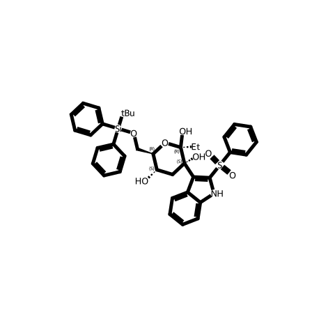 CC[C@@]1(O)O[C@H](CO[Si](c2ccccc2)(c2ccccc2)C(C)(C)C)[C@@H](O)C[C@]1(O)c1c(S(=O)(=O)c2ccccc2)[nH]c2ccccc12